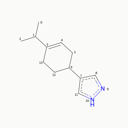 CC(C)C1=CCC(c2cn[nH]c2)CC1